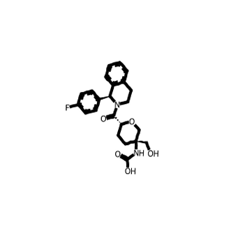 O=C(O)N[C@]1(CO)CC[C@H](C(=O)N2CCc3ccccc3[C@@H]2c2ccc(F)cc2)OC1